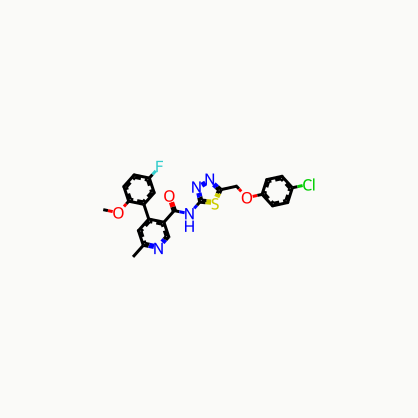 COc1ccc(F)cc1-c1cc(C)ncc1C(=O)Nc1nnc(COc2ccc(Cl)cc2)s1